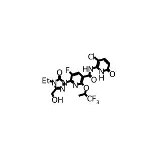 CCn1c(CO)nn(-c2nc(OC(C)C(F)(F)F)c(C(=O)Nc3[nH]c(=O)ccc3Cl)cc2F)c1=O